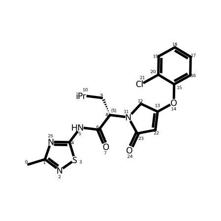 Cc1nsc(NC(=O)[C@H](CC(C)C)N2CC(Oc3ccccc3Cl)=CC2=O)n1